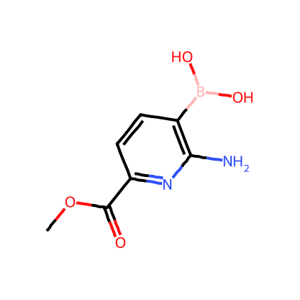 COC(=O)c1ccc(B(O)O)c(N)n1